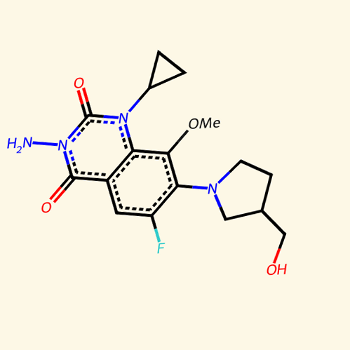 COc1c(N2CCC(CO)C2)c(F)cc2c(=O)n(N)c(=O)n(C3CC3)c12